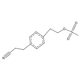 CS(=O)(=O)OCCc1ccc(CCC#N)cc1